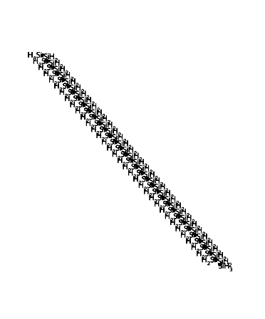 [SiH3][SiH2][SiH2][SiH2][SiH2][SiH2][SiH2][SiH2][SiH2][SiH2][SiH2][SiH2][SiH2][SiH2][SiH2][SiH2][SiH2][SiH2][SiH2][SiH2][SiH2][SiH2][SiH2][SiH2][SiH2][SiH2][SiH2][SiH2][SiH2][SiH2][SiH2][SiH2][SiH2][SiH2][SiH2][SiH2][SiH2][SiH2][SiH2][SiH2][SiH2][SiH2][SiH2][SiH2][SiH2][SiH2][SiH2][SiH2][SiH2][SiH2][SiH2][SiH2][SiH2][SiH2][SiH2][SiH2][SiH2][SiH2][SiH2][SiH2][SiH2][SiH2][SiH2][SiH2][SiH2][SiH2][SiH2][SiH2][SiH3]